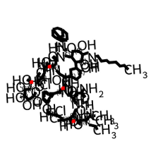 CCCCCCCCNCC1[C@H](O)C2C3C[C@H](CC[C@H]3O)[C@H]3NC(=O)[C@@H]4NC(=O)[C@H](CC(N)=O)NC(=O)[C@H](NC(=O)[C@@H](CC(C)C)NC)[C@H](O)[C@H]5CC[C@@H](Oc6cc4cc(c6O[C@@H]4O[C@H](CO)[C@@H](O)[C@H](O)[C@H]4O)O[C@@H]4CC[C@@H](C[C@@H]4Cl)[C@@H](O)[C@H](NC3=O)C(=O)N[C@H](C(=O)NC3C4CC6CC(C4)CC3C6)C2C[C@@H]1O)[C@H](Cl)C5